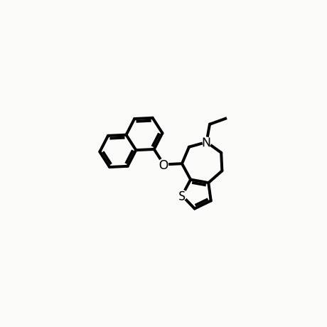 CCN1CCc2ccsc2C(Oc2cccc3ccccc23)C1